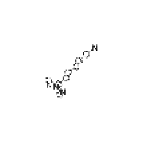 N#Cc1ccc(-c2ccc3cc(-c4ccc5cc(-c6cc(-c7ccccn7)nc(-c7ccccn7)c6)ccc5c4)ccc3c2)cc1